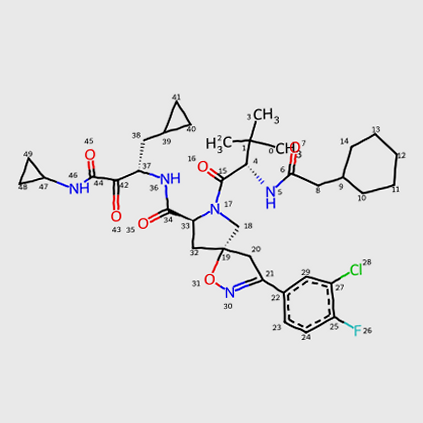 CC(C)(C)[C@H](NC(=O)CC1CCCCC1)C(=O)N1C[C@@]2(CC(c3ccc(F)c(Cl)c3)=NO2)C[C@H]1C(=O)N[C@@H](CC1CC1)C(=O)C(=O)NC1CC1